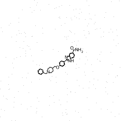 NC(=O)c1ccc2[nH]c(-c3ccc(OCC4CCN(Cc5ccccc5)CC4)cc3)nc2c1